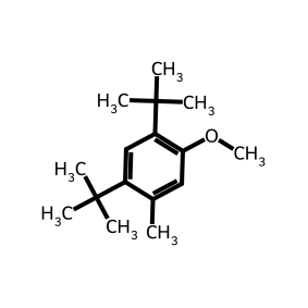 COc1cc(C)c(C(C)(C)C)cc1C(C)(C)C